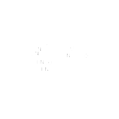 Cc1ccc(-n2nc(C(C)(C)C)cc2NC(=O)Nc2ccccc2CC2CCN(C(=O)CCOc3ccccc3)CC2)cc1